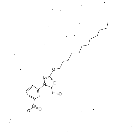 CCCCCCCCCCCCOC1=NN(c2cccc([N+](=O)[O-])c2)C(C=O)O1